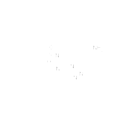 Cc1ccc(S(=O)(=O)n2ccc3c2ncc2nnc([C@H]4C[C@@H](N)C4(C)C)n23)cc1